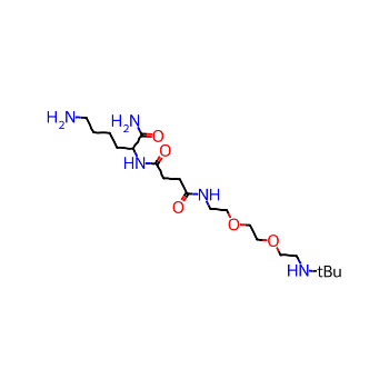 CC(C)(C)NCCOCCOCCNC(=O)CCC(=O)NC(CCCCN)C(N)=O